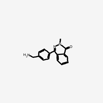 Cn1nc(-c2ccc(CN)cc2)c2ccccc2c1=O